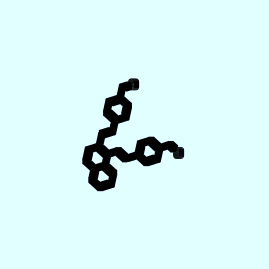 O=Cc1ccc(C=Cc2ccc3ccccc3c2C=Cc2ccc(C=O)cc2)cc1